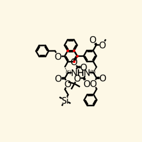 COC(=O)c1cc(C[C@H](NC(=O)OC(C)(C)C)C(=O)OCc2ccccc2)cc(-c2ccc(OCc3ccccc3)c(C[C@H](NC(=O)OCc3ccccc3)C(=O)OCC[Si](C)(C)C)c2)c1